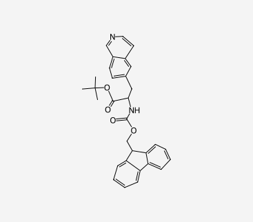 CC(C)(C)OC(=O)C(Cc1ccc2cnccc2c1)NC(=O)OCC1c2ccccc2-c2ccccc21